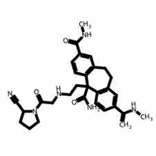 C=C(NC)c1ccc2c(c1)CCc1cc(C(=O)NC)ccc1C2(CCNCC(=O)N1CCCC1C#N)C(N)=O